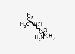 CC(C)CCCCCOC(=O)[C@H](C)N.Cl